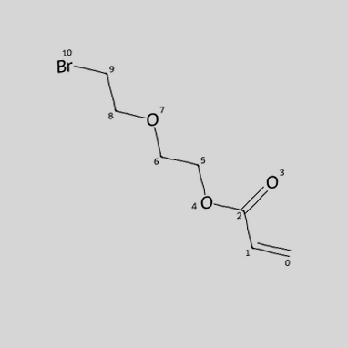 C=CC(=O)OCCOCCBr